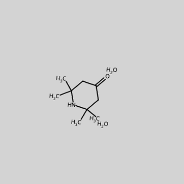 CC1(C)CC(=O)CC(C)(C)N1.O.O